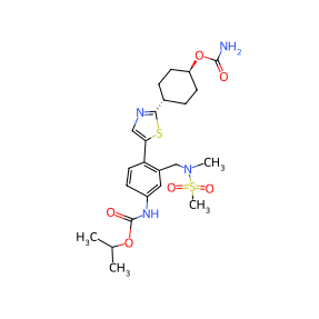 CC(C)OC(=O)Nc1ccc(-c2cnc([C@H]3CC[C@H](OC(N)=O)CC3)s2)c(CN(C)S(C)(=O)=O)c1